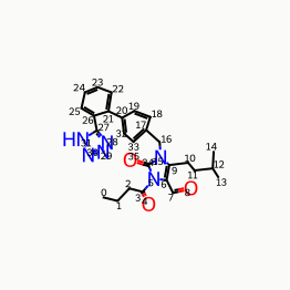 CCCC(=O)n1c(C=O)c(CCC(C)C)n(Cc2ccc(-c3ccccc3-c3nnn[nH]3)cc2)c1=O